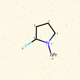 CCCN1CCCC1F